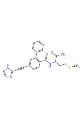 CSCCC(NC(=O)c1ccc(C#Cc2ncc[nH]2)cc1-c1ccccc1)C(=O)O